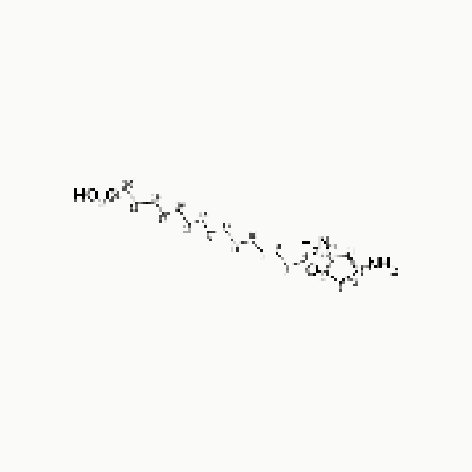 Nc1ccc(OCCCCCCCCCCCCCCCC(=O)O)c(N)c1